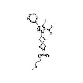 CCCCOC(=O)N1CC2(CC(n3nc(-c4cccnc4)c(I)c3C(F)F)C2)C1